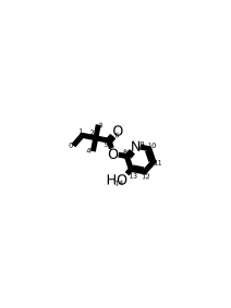 CCC(C)(C)C(=O)Oc1ncccc1O